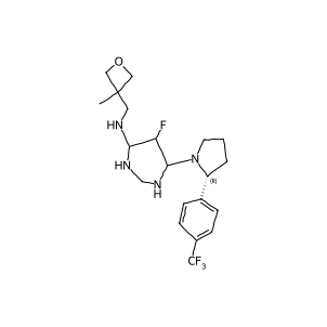 CC1(CNC2NCNC(N3CCC[C@@H]3c3ccc(C(F)(F)F)cc3)C2F)COC1